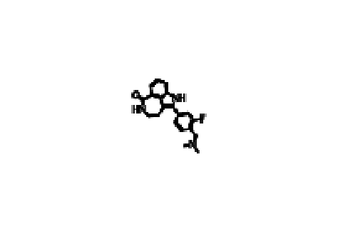 CN(C)Cc1ccc(-c2[nH]c3cccc4c3c2CCNC4=O)cc1F